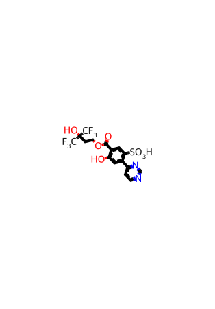 O=C(OCCC(O)(C(F)(F)F)C(F)(F)F)c1cc(S(=O)(=O)O)c(-c2ccncn2)cc1O